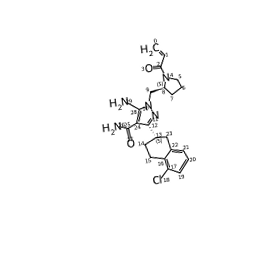 C=CC(=O)N1CCC[C@H]1Cn1nc([C@H]2CCc3c(Cl)cccc3C2)c(C(N)=O)c1N